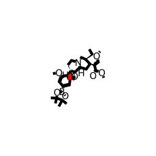 CC[C@@H]1CN2CC[C@@]34OCCO[C@@]3(Nc3cc(B5OC(C)(C)C(C)(C)O5)cc(OC)c34)[C@@H]2C[C@@H]1/C(=C\OC)C(=O)OC